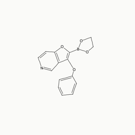 c1ccc(Oc2c(B3OCCO3)oc3ccncc23)cc1